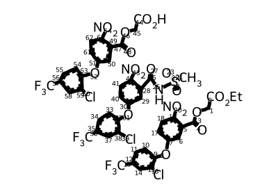 CCOC(=O)COC(=O)c1cc(Oc2ccc(C(F)(F)F)cc2Cl)ccc1[N+](=O)[O-].CS(=O)(=O)NC(=O)c1cc(Oc2ccc(C(F)(F)F)cc2Cl)ccc1[N+](=O)[O-].O=C(O)COC(=O)c1cc(Oc2ccc(C(F)(F)F)cc2Cl)ccc1[N+](=O)[O-]